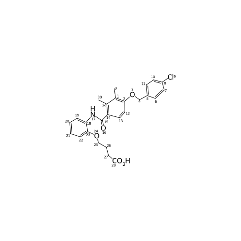 Cc1c(OCc2ccc(Cl)cc2)ccc(C(=O)Nc2ccccc2OCCCC(=O)O)c1C